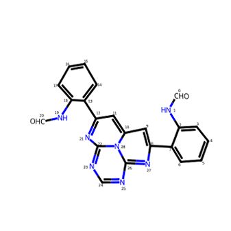 O=CNc1ccccc1C1=CC2=CC(c3ccccc3NC=O)=NC3=NC=NC(=N1)N23